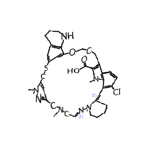 CN1C/C=N/N2CCCC/C2=C\c2c(Cl)ccc3c(c(C(=O)O)n(C)c23)CCCOc2cc(cc3c2NCCC3)SCc2cc(nn2C)C1